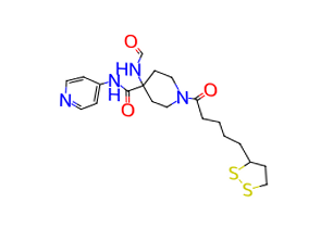 O=CNC1(C(=O)Nc2ccncc2)CCN(C(=O)CCCCC2CCSS2)CC1